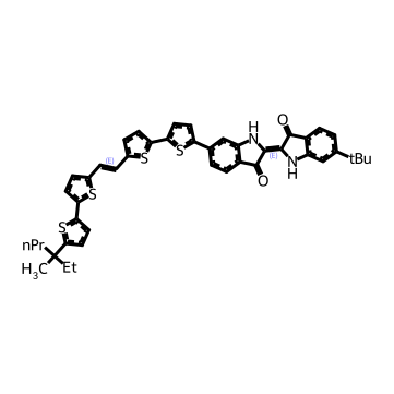 CCCC(C)(CC)c1ccc(-c2ccc(/C=C/c3ccc(-c4ccc(-c5ccc6c(c5)N/C(=C5/Nc7cc(C(C)(C)C)ccc7C5=O)C6=O)s4)s3)s2)s1